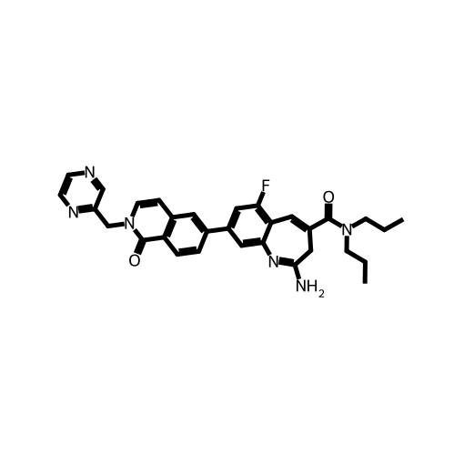 CCCN(CCC)C(=O)C1=Cc2c(F)cc(-c3ccc4c(=O)n(Cc5cnccn5)ccc4c3)cc2N=C(N)C1